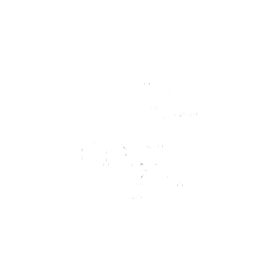 CCCCCC(C=C[C@@H]1[C@H]2CC(=O)C(CO)[C@@H]2C[C@H]1OC1CCCCO1)OC1CCCCO1